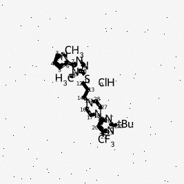 Cl.Cn1cccc1-c1nnc(SCCCN2CCN(c3cc(C(F)(F)F)nc(C(C)(C)C)n3)CC2)n1C